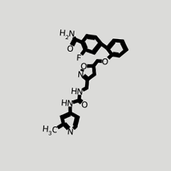 Cc1cc(NC(=O)NCC2=NOC(COc3ccccc3-c3ccc(C(N)=O)c(F)c3)C2)ccn1